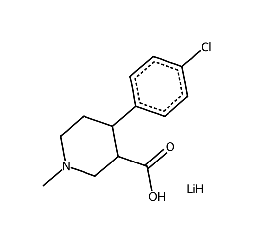 CN1CCC(c2ccc(Cl)cc2)C(C(=O)O)C1.[LiH]